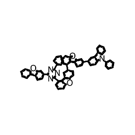 c1ccc(-c2nc(-c3ccc4c(c3)oc3ccccc34)nc(-c3cccc4oc5ccc(-c6cccc7oc8cc(-c9ccc%10c(c9)c9ccccc9n%10-c9ccccc9)ccc8c67)cc5c34)n2)cc1